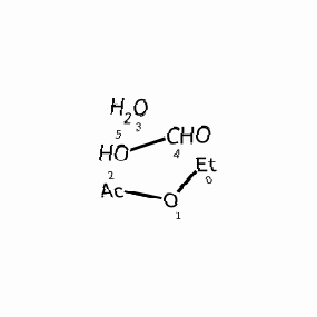 CCOC(C)=O.O.O=CO